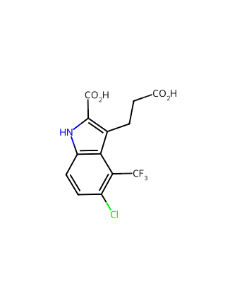 O=C(O)CCc1c(C(=O)O)[nH]c2ccc(Cl)c(C(F)(F)F)c12